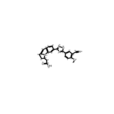 COc1ccc(-c2nc(-c3ccc4cc5n(c4c3)C(CC(=O)O)CC5)no2)cc1C#N